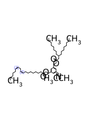 CCCCC/C=C\C/C=C\CCCCCCCC(=O)OCc1cc(COC(=O)CC(CCCCCCCC)CCCCCCCC)cc(CN(C)C)c1